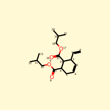 C=CC1C=CCC(C(=O)OCC(C)C)C1C(=O)OCC(C)C